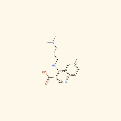 Cc1ccc2ncc(C(=O)O)c(NCCCN(C)C)c2c1